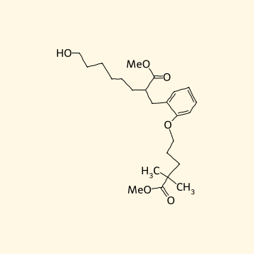 COC(=O)C(CCCCCCO)Cc1ccccc1OCCCC(C)(C)C(=O)OC